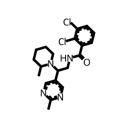 Cc1ncc(C(CNC(=O)c2cccc(Cl)c2Cl)N2CCCCC2C)cn1